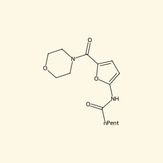 [CH2]CCCCC(=O)Nc1ccc(C(=O)N2CCOCC2)o1